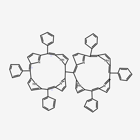 C1=C/C2=C(\c3ccccc3)c3ccc([nH]3)/C(c3ccccc3)=C3/C=CC(=N3)C(c3c4nc(c(-c5ccccc5)c5ccc([nH]5)c(-c5ccccc5)c5nc(c(-c6ccccc6)c6ccc3[nH]6)C=C5)C=C4)C3C=C/C(=C(\c4ccccc4)C1=N2)N3